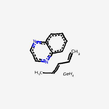 C=CC=CC.[GeH4].c1ccc2nccnc2c1